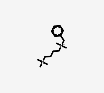 C[N+](C)(C)CCCC[N+](C)(C)Cc1ccccc1